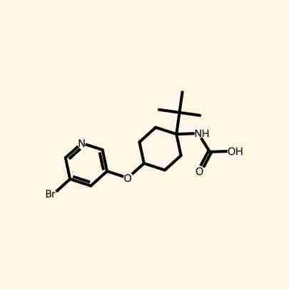 CC(C)(C)C1(NC(=O)O)CCC(Oc2cncc(Br)c2)CC1